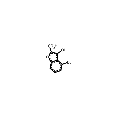 CCc1cccc2oc(C(=O)O)c(O)c12